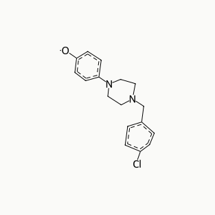 [O]c1ccc(N2CCN(Cc3ccc(Cl)cc3)CC2)cc1